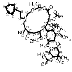 CCC(=O)O[C@@H]1CC(=O)O[C@H](C)CCN(CCc2ccccc2)C[C@H](O)[C@H](C)C[C@H](CC=O)[C@H]([C@@H]2O[C@H](C)[C@@H](O[C@@H]3C[C@@](C)(OC(C)=O)[C@@H](OC(=O)CC)[C@H](C)O3)[C@H](N(C)C)[C@H]2O)[C@@H]1OC